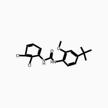 COc1cc(C(C)(C)C)ccc1NC(=O)Nc1cccc(Cl)c1Cl